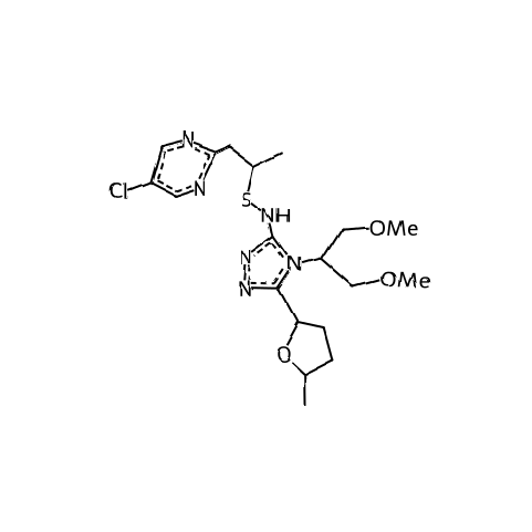 COCC(COC)n1c(NSC(C)Cc2ncc(Cl)cn2)nnc1C1CCC(C)O1